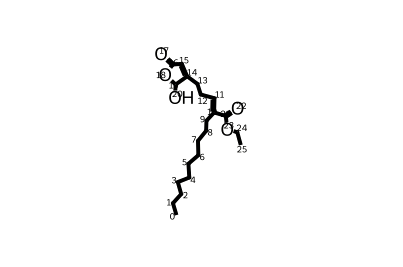 CCCCCCCCCC/C(=C\CCC1=CC(=O)OC1O)C(=O)OCC